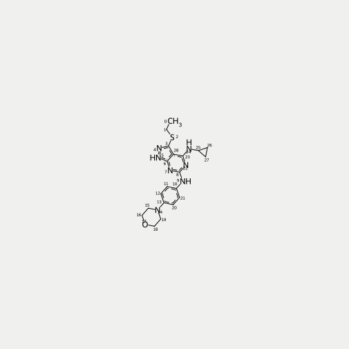 CCSc1n[nH]c2nc(Nc3ccc(N4CCOCC4)cc3)nc(NC3CC3)c12